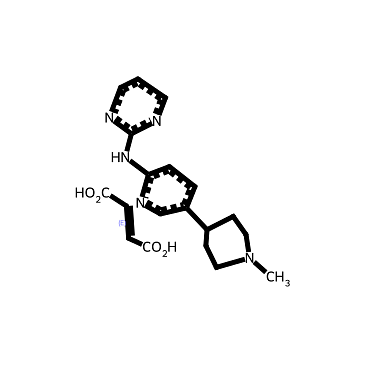 CN1CCC(c2ccc(Nc3ncccn3)nc2)CC1.O=C(O)/C=C/C(=O)O